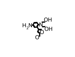 Nc1ccc(N(CCO)CCO)c(-c2coc(C=O)c2)c1